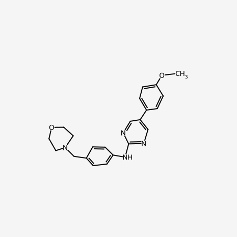 COc1ccc(-c2cnc(Nc3ccc(CN4CCOCC4)cc3)nc2)cc1